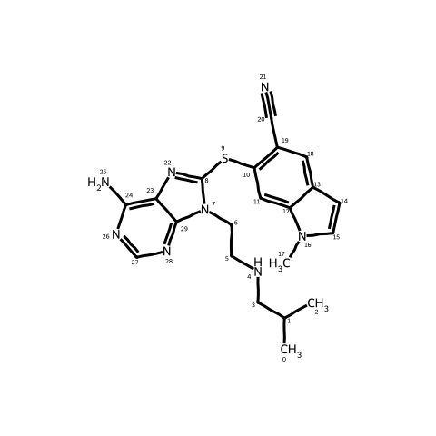 CC(C)CNCCn1c(Sc2cc3c(ccn3C)cc2C#N)nc2c(N)ncnc21